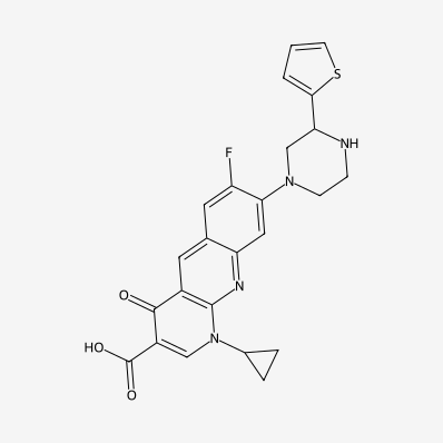 O=C(O)c1cn(C2CC2)c2nc3cc(N4CCNC(c5cccs5)C4)c(F)cc3cc2c1=O